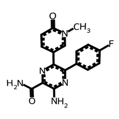 Cn1cc(-c2nc(C(N)=O)c(N)nc2-c2ccc(F)cc2)ccc1=O